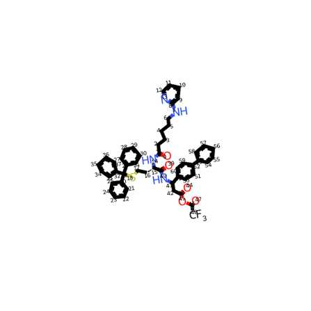 O=C(CCCCCNc1ccccn1)N[C@@H](CCSC(c1ccccc1)(c1ccccc1)c1ccccc1)C(=O)NC(CC(=O)OC(=O)C(F)(F)F)c1ccc(-c2ccccc2)cc1